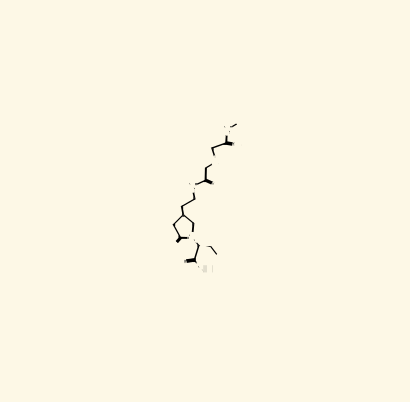 CC[C@@H](C(N)=O)N1CC(CCNC(=O)CSCC(=O)NC)CC1=O